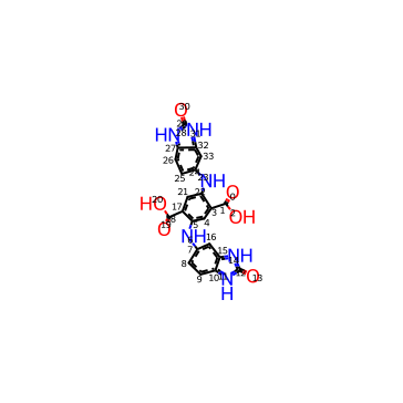 O=C(O)c1cc(Nc2ccc3[nH]c(=O)[nH]c3c2)c(C(=O)O)cc1Nc1ccc2[nH]c(=O)[nH]c2c1